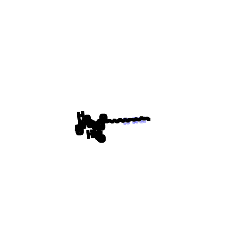 CC/C=C/C/C=C/C/C=C/CCCCCCCC(=O)OCC(COC(=O)c1cc2occc2[nH]1)OC(=O)c1cc2occc2[nH]1